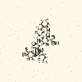 Cc1ccc(S(=O)(=O)N(CC(=O)N(Cc2ccc(C3CCCCC3)cc2)c2ccc(C(=O)O)c(O)c2)Cc2c(F)ccc(F)c2F)cc1